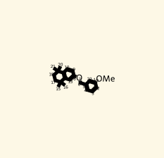 COc1cccc(COc2[c]cc3c(c2)C(C)(C)CCC3(C)C)c1